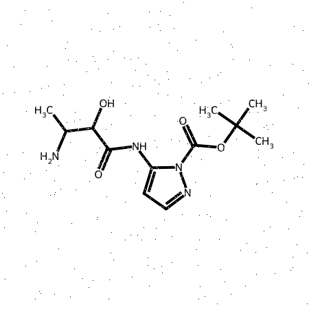 CC(N)C(O)C(=O)Nc1ccnn1C(=O)OC(C)(C)C